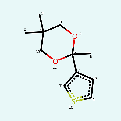 CC1(C)COC(C)(c2ccsc2)OC1